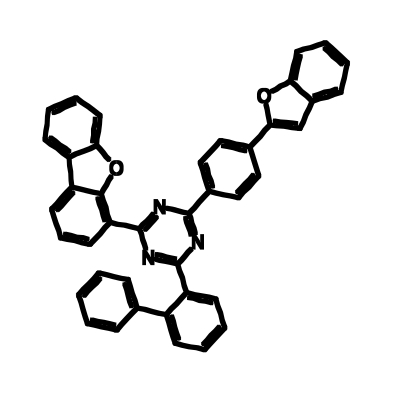 c1ccc(-c2ccccc2-c2nc(-c3ccc(-c4cc5ccccc5o4)cc3)nc(-c3cccc4c3oc3ccccc34)n2)cc1